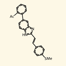 CSc1ccc(/C=C/c2nc3cc(-c4ccccc4C(C)=O)ccc3[nH]2)cc1